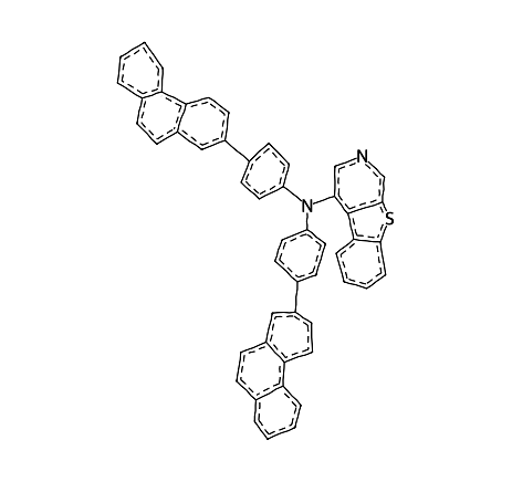 c1ccc2c(c1)ccc1cc(-c3ccc(N(c4ccc(-c5ccc6c(ccc7ccccc76)c5)cc4)c4cncc5sc6ccccc6c45)cc3)ccc12